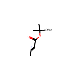 C/C=C/C(=O)OC(C)(C)OC